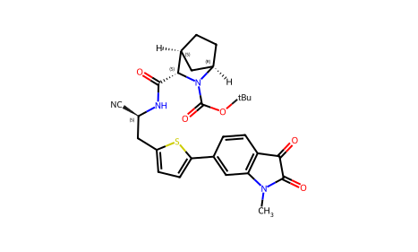 CN1C(=O)C(=O)c2ccc(-c3ccc(C[C@@H](C#N)NC(=O)[C@@H]4[C@H]5CC[C@H](C5)N4C(=O)OC(C)(C)C)s3)cc21